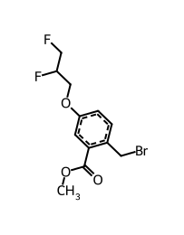 COC(=O)c1cc(OCC(F)CF)ccc1CBr